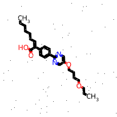 CCCCCCC=C(C(=O)O)c1ccc(-c2ncc(OCCCCOCCC)cn2)cc1